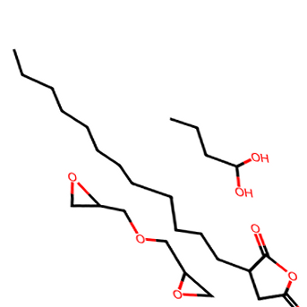 C(OCC1CO1)C1CO1.CCCC(O)O.CCCCCCCCCCCCC1CC(=O)OC1=O